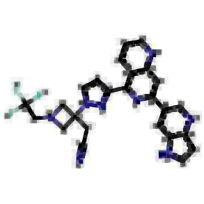 N#CCC1(n2ccc(-c3nc(-c4cnc5cc[nH]c5c4)cc4ncccc34)n2)CN(CC(F)(F)F)C1